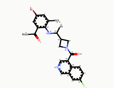 CNC(=O)c1cc(Br)cc([N+](=O)[O-])c1NC(C(C)C)C1CN(C(=O)c2cncc3cc(F)ccc23)C1